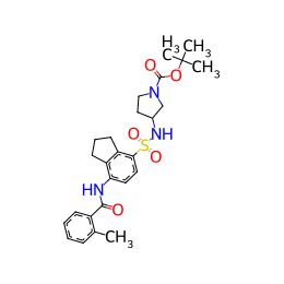 Cc1ccccc1C(=O)Nc1ccc(S(=O)(=O)NC2CCN(C(=O)OC(C)(C)C)C2)c2c1CCC2